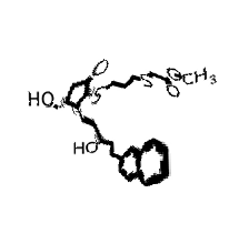 COC(=O)CSCCCS[C@H]1C(=O)C[C@@H](CO)[C@@H]1C=C[C@H](O)CCc1ccc2ccccc2c1